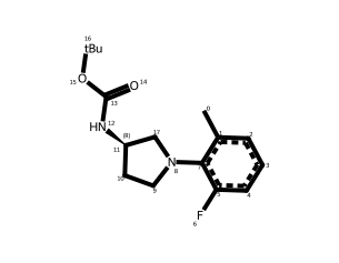 Cc1cccc(F)c1N1CC[C@@H](NC(=O)OC(C)(C)C)C1